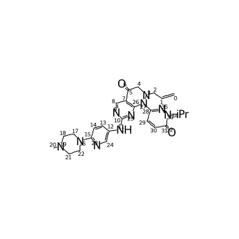 C=CCN1CC(=O)c2cnc(Nc3ccc(N4CCN(C)CC4)nc3)nc2N1c1ccc(=O)n(C(C)C)n1